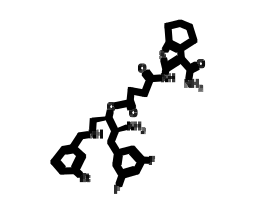 CCc1cccc(CNC[C@@H](OC(=O)CCC(=O)Nc2sc3c(c2C(N)=O)CCCC3)[C@@H](N)Cc2cc(F)cc(F)c2)c1